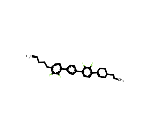 C=CCCCc1ccc(-c2ccc(-c3ccc(C4=CCC(CCC)CC4)c(F)c3F)cc2)c(F)c1F